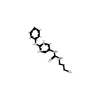 O=C(NCCCCl)Nc1cnc(Oc2ccccc2)nc1